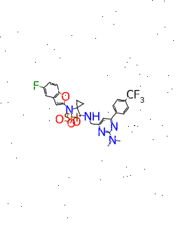 CN(C)c1nc(CNC(=O)C2(N(c3cc4cc(F)ccc4o3)[SH](=O)=O)CC2)cc(-c2ccc(C(F)(F)F)cc2)n1